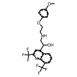 COc1ccc(OCCNCC(O)c2cc(C(F)(F)F)nc3c(C(F)(F)F)cccc23)cc1